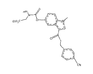 CCCN(CC(=O)OCC)C(=O)Oc1ccc2c(c1)c(C(=O)CCc1ccc(C#N)cc1)cn2C